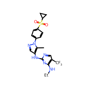 CCNc1nc(Nc2cnn(-c3ccc(S(=O)(=O)C4CC4)cc3)c2C)ncc1C(F)(F)F